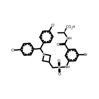 C[C@H](NC(=O)c1cc(Br)cc(NS(=O)(=O)CC2CN(C(c3ccc(Cl)cc3)c3ccc(Cl)cc3)C2)c1)C(=O)O